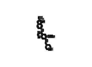 COc1cc2c(Oc3ccc4cc(C)[nH]c4c3)ncnc2cc1OCC1CCNCC1